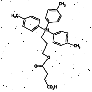 Cc1ccc([PH](CCCOC(=O)CCC(=O)O)(c2ccc(C)cc2)c2ccc(C)cc2)cc1